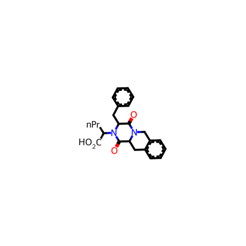 CCCC(C(=O)O)N1C(=O)C2Cc3ccccc3CN2C(=O)C1Cc1ccccc1